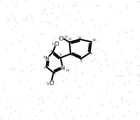 Clc1cnc(Cl)c(-c2ccccc2Cl)n1